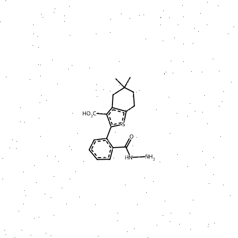 CC1(C)CCc2sc(-c3ccccc3C(=O)NN)c(C(=O)O)c2C1